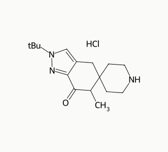 CC1C(=O)c2nn(C(C)(C)C)cc2CC12CCNCC2.Cl